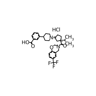 CC(C)[C@]1(C(=O)N2COc3ccc(C(F)(F)F)cc3C2)CC[C@@H](N2CCC(c3cccc(C(=O)O)c3)CC2)C1.Cl